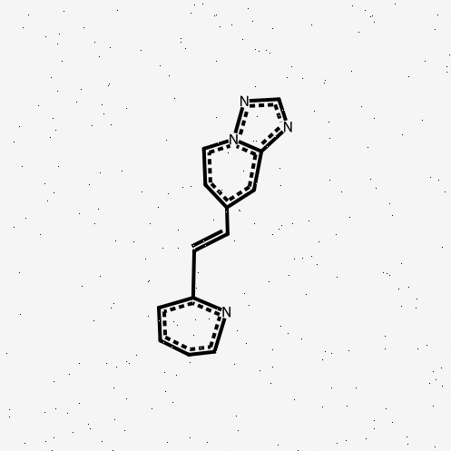 C(=C\c1ccccn1)/c1ccn2ncnc2c1